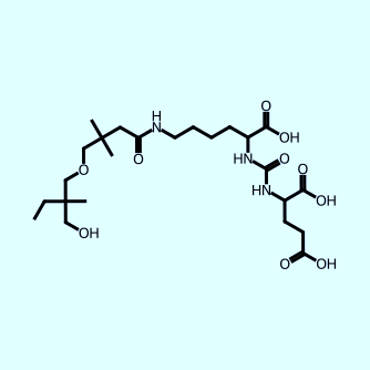 CCC(C)(CO)COCC(C)(C)CC(=O)NCCCCC(NC(=O)NC(CCC(=O)O)C(=O)O)C(=O)O